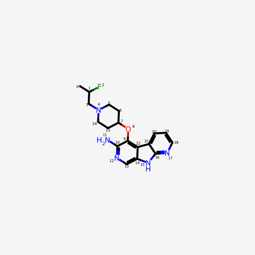 CC(F)CN1CCC(Oc2c(N)ncc3[nH]c4ncccc4c23)CC1